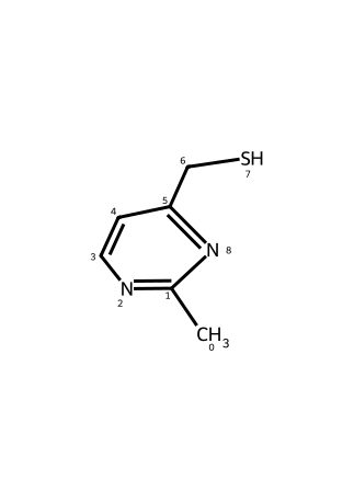 Cc1nccc(CS)n1